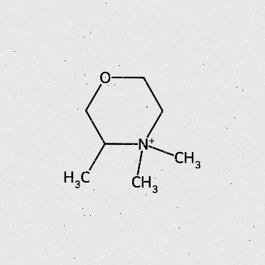 CC1COCC[N+]1(C)C